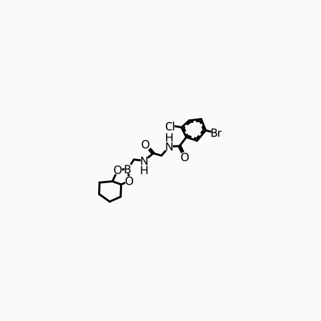 O=C(CNC(=O)c1cc(Br)ccc1Cl)NCB1OC2CCCCC2O1